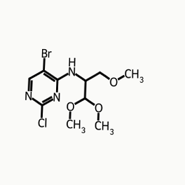 COCC(Nc1nc(Cl)ncc1Br)C(OC)OC